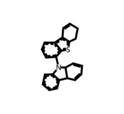 C1=CC2c3ccccc3N(c3cccc4c5c(sc34)CCC=C5)C2C=C1